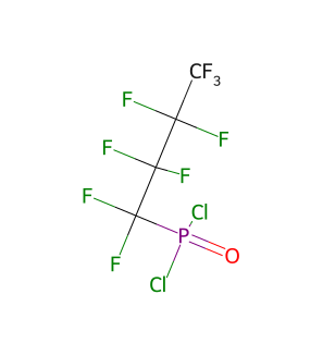 O=P(Cl)(Cl)C(F)(F)C(F)(F)C(F)(F)C(F)(F)F